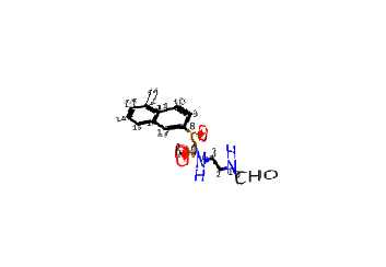 O=[C]NCCNS(=O)(=O)c1ccc2ccccc2c1